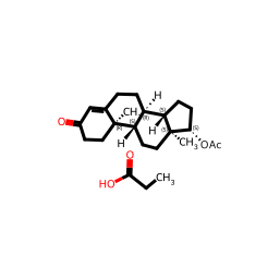 CC(=O)O[C@H]1CC[C@H]2[C@@H]3CCC4=CC(=O)CC[C@]4(C)[C@H]3CC[C@]12C.CCC(=O)O